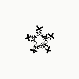 CC(C)(C)O[Si]1(C)O[Si](C)(OC(C)(C)C)O[Si](C)(OC(C)(C)C)O[Si](C)(OC(C)(C)C)O[Si](C)(OC(C)(C)C)O1